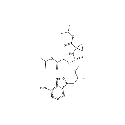 CC(C)OC(=O)CO[P@@](=O)(CO[C@H](C)Cn1cnc2c(N)ncnc21)NC1(C(=O)OC(C)C)CC1